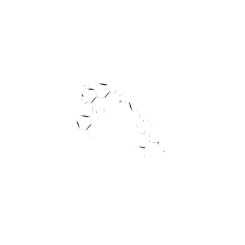 COC(=O)C(C(=O)OC)N1CCN(CC=CC(=O)Nc2ccc3ncnc(Nc4cccc(Br)c4)c3c2)CC1